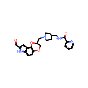 O=Cc1cc2c3c(ccc2[nH]1)OCC(CN1CCC(CNC(=O)c2ccccn2)CC1)O3